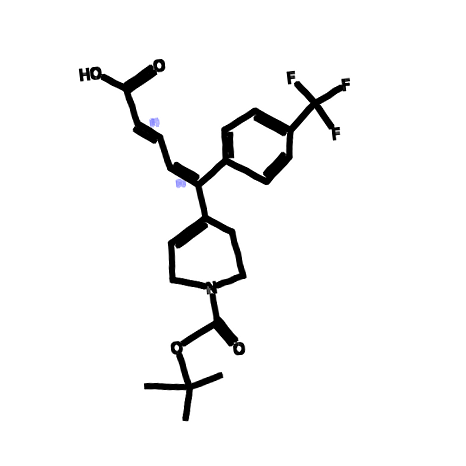 CC(C)(C)OC(=O)N1CC=C(/C(=C/C=C/C(=O)O)c2ccc(C(F)(F)F)cc2)CC1